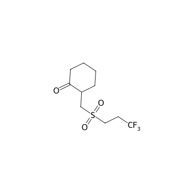 O=C1CCCCC1CS(=O)(=O)CCC(F)(F)F